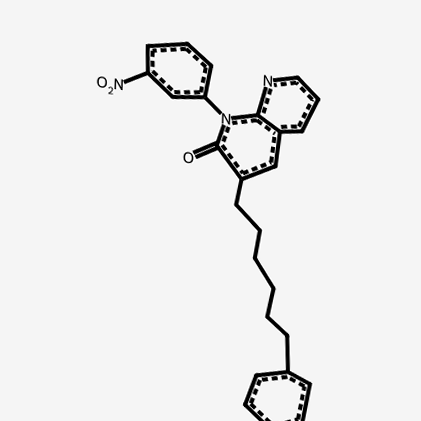 O=c1c(CCCCCCc2ccncc2)cc2cccnc2n1-c1cccc([N+](=O)[O-])c1